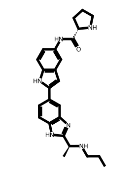 CCCN[C@@H](C)c1nc2cc(-c3cc4cc(NC(=O)[C@@H]5CCCN5)ccc4[nH]3)ccc2[nH]1